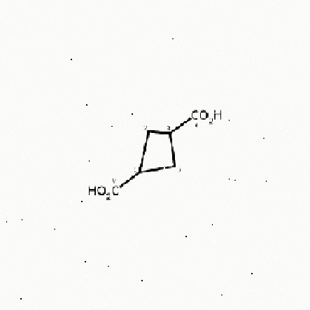 O=C(O)C1CC(C(=O)O)C1